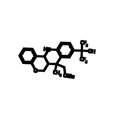 COCC1(C)c2cc(C(O)(C(F)(F)F)C(F)(F)F)ccc2NC2c3ccccc3OCC21